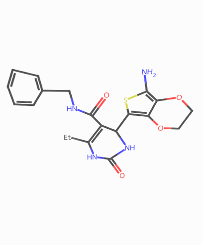 CCC1=C(C(=O)NCc2ccccc2)C(c2sc(N)c3c2OCCO3)NC(=O)N1